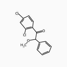 COC(C(=O)c1ccc(Cl)cc1Cl)c1ccccc1